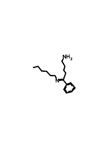 CCCCCCN=C(CCCCN)c1ccccc1